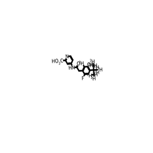 [2H]c1c(O)c(C(C([2H])([2H])[2H])(C([2H])([2H])[2H])C([2H])([2H])[2H])cc(F)c1CC(=O)Nc1ccnc(C(=O)O)c1